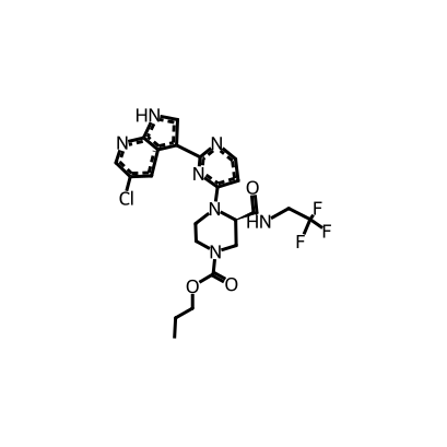 CCCOC(=O)N1CCN(c2ccnc(-c3c[nH]c4ncc(Cl)cc34)n2)[C@@H](C(=O)NCC(F)(F)F)C1